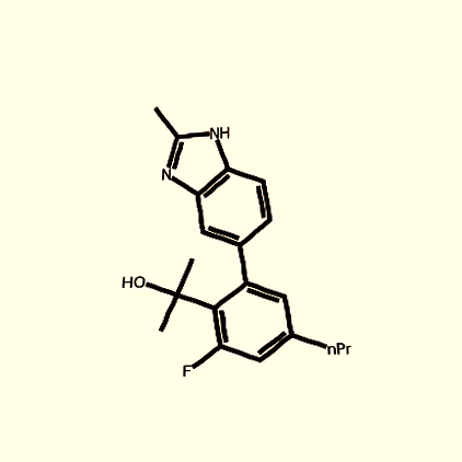 CCCc1cc(F)c(C(C)(C)O)c(-c2ccc3[nH]c(C)nc3c2)c1